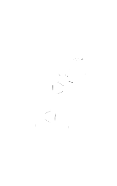 COCC(C)N1C(=O)c2ccc(OCc3cc(C(F)(F)F)cc(C(F)(F)F)c3)cc2C1=O